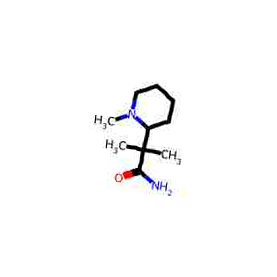 CN1CCCCC1C(C)(C)C(N)=O